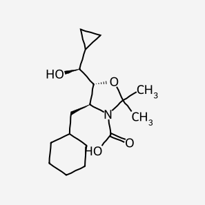 CC1(C)O[C@@H]([C@@H](O)C2CC2)[C@H](CC2CCCCC2)N1C(=O)O